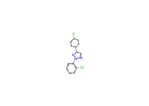 Clc1ccc(-c2cnn(-c3ccccc3Cl)n2)cc1